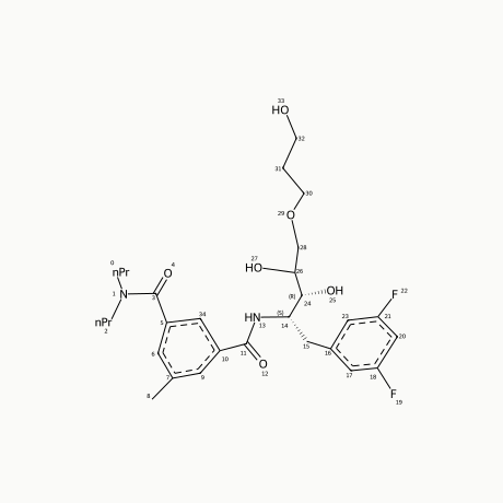 CCCN(CCC)C(=O)c1cc(C)cc(C(=O)N[C@@H](Cc2cc(F)cc(F)c2)[C@@H](O)C(O)COCCCO)c1